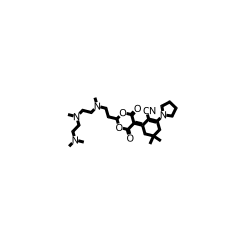 CN(C)CCN(C)CCN(C)CCC1OC(=O)C(=C2CC(C)(C)CC(N3CCCC3)=C2C#N)C(=O)O1